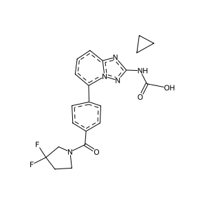 C1CC1.O=C(O)Nc1nc2cccc(-c3ccc(C(=O)N4CCC(F)(F)C4)cc3)n2n1